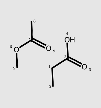 CCC(=O)O.COC(C)=O